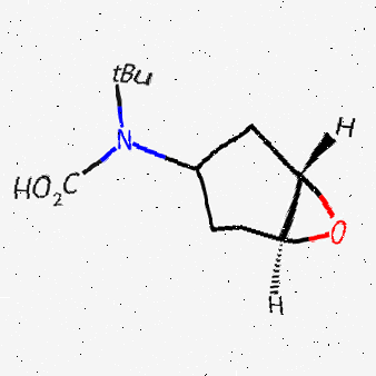 CC(C)(C)N(C(=O)O)C1C[C@@H]2O[C@H]2C1